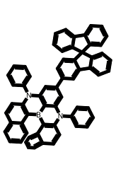 c1ccc(N2c3cc(-c4ccc5c(c4)-c4ccccc4C54c5ccccc5-c5ccccc54)cc4c3B(c3c2ccc2ccccc32)c2c(ccc3ccccc23)N4c2ccccc2)cc1